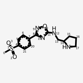 CS(=O)(=O)c1ccc(-c2noc(NCC3CCCN3)n2)cc1